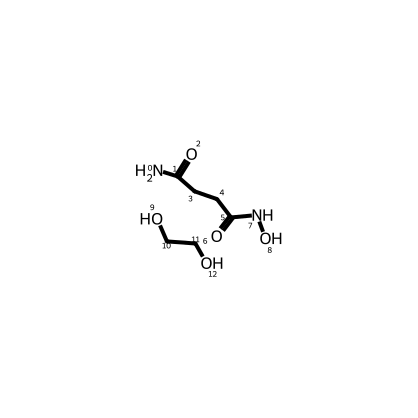 NC(=O)CCC(=O)NO.OCCO